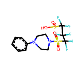 O=S(=O)(O)C(F)(F)C(F)(F)C(F)(F)S(=O)(=O)N1CCN(c2ccccc2)CC1